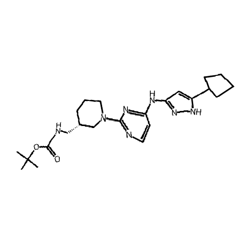 CC(C)(C)OC(=O)NC[C@@H]1CCCN(c2nccc(Nc3cc(C4CCCC4)[nH]n3)n2)C1